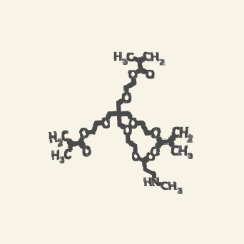 C=C(C)C(=O)OCCOCC(COCCOC(=O)CCNC)(COCCOC(=O)C(=C)C)COCCOC(=O)C(=C)C